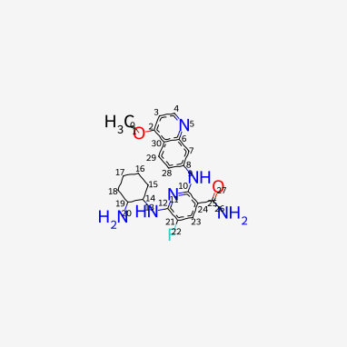 COc1ccnc2cc(Nc3nc(NC4CCCCC4N)c(F)cc3C(N)=O)ccc12